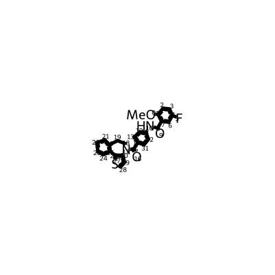 COc1ccc(F)cc1C(=O)Nc1ccc(C(=O)N2CCc3ccccc3-c3sccc32)cc1